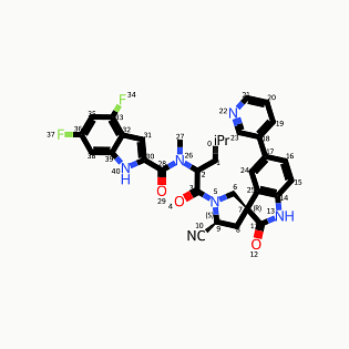 CC(C)CC(C(=O)N1C[C@]2(C[C@H]1C#N)C(=O)Nc1ccc(-c3cccnc3)cc12)N(C)C(=O)c1cc2c(F)cc(F)cc2[nH]1